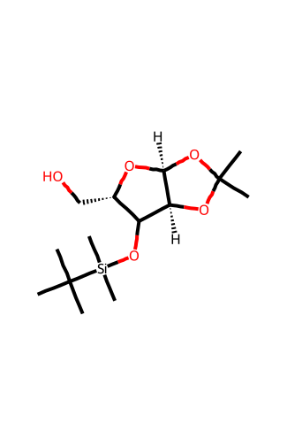 CC1(C)O[C@@H]2O[C@@H](CO)C(O[Si](C)(C)C(C)(C)C)[C@@H]2O1